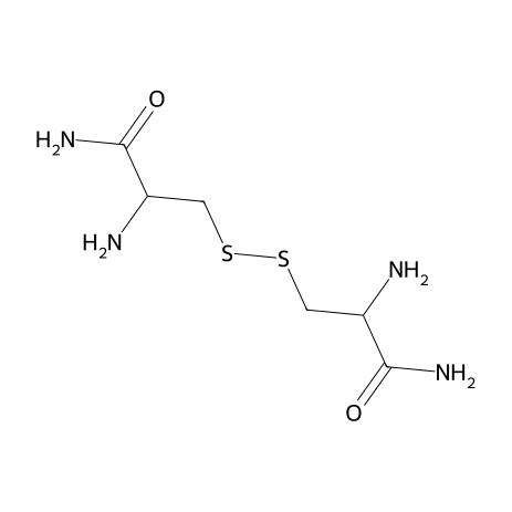 NC(=O)C(N)CSSCC(N)C(N)=O